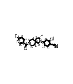 C[C@H]1CC2(CCN(C(=O)c3ccc(F)nc3)CC2)CN1c1ccc(C#N)c(Cl)c1